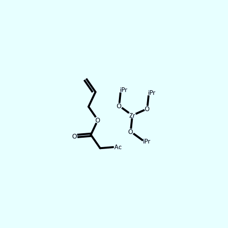 C=CCOC(=O)CC(C)=O.CC(C)[O][Zr]([O]C(C)C)[O]C(C)C